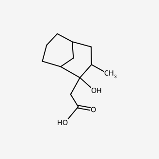 CC1CC2CCCC(C2)C1(O)CC(=O)O